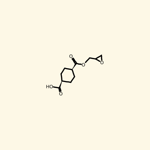 O=C(O)[C@H]1CC[C@@H](C(=O)OCC2CO2)CC1